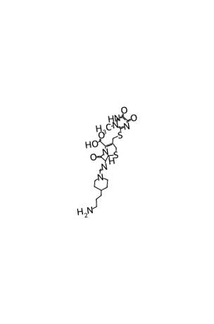 Cn1[nH]c(=O)c(=O)nc1SCC1=C(C(=O)O)N2C(=O)C(/N=C/N3CCC(CCCN)CC3)[C@H]2SC1